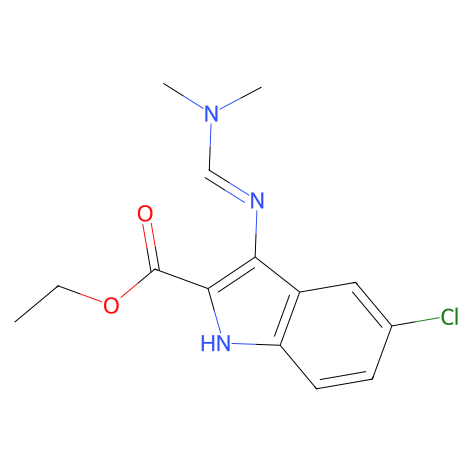 CCOC(=O)c1[nH]c2ccc(Cl)cc2c1/N=C/N(C)C